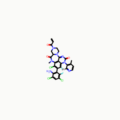 C=CC(=O)N1CCN2c3nc(=O)n(-c4c(C)ccnc4C(C)C)c4c(F)c(-c5c(N)c(Cl)cc(Cl)c5F)c(Cl)c(c34)N(C)C(=O)C2C1